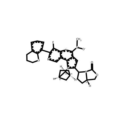 C[S+]([O-])c1nc2c(F)c(-c3cccc4c3OCCC4)ncc2c2c1cc(C1CC[C@H]3COC(=O)N13)n2[C@@H]1[C@@H]2CC[C@H]1C2